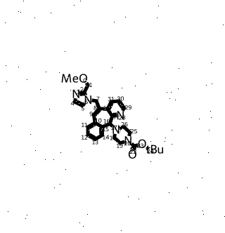 COCc1nccn1CC1=Cc2ccccc2C(N2CCN(C(=O)OC(C)(C)C)CC2)c2ncccc21